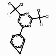 ClC(Cl)(Cl)c1nc(-c2ccc3c(c2)C3)nc(C(Cl)(Cl)Cl)n1